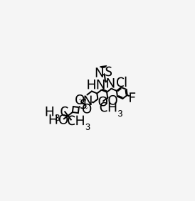 COC(=O)C1=C(C2CCN(S(=O)(=O)C3CC(C(C)(C)O)C3)CC2)NC(c2nccs2)=NC1c1ccc(F)cc1Cl